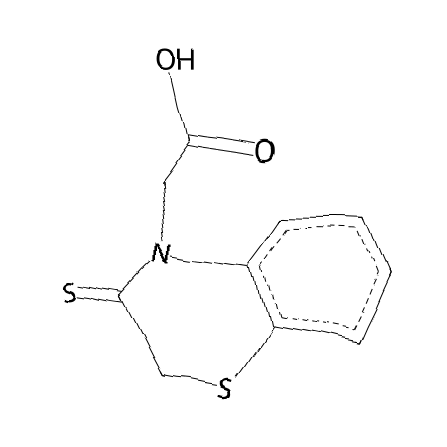 O=C(O)CN1C(=S)CSc2ccccc21